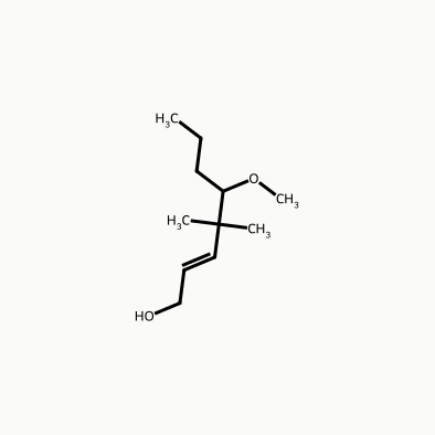 CCCC(OC)C(C)(C)C=CCO